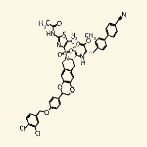 COC(=O)[C@H](Cc1ccc(-c2ccc(C#N)cc2)cc1)NC(=O)[C@@H]1Cc2cc3c(cc2CN1S(=O)(=O)c1nc(NC(C)=O)sc1C)OC(c1ccc(OCc2ccc(Cl)c(Cl)c2)cc1)CO3